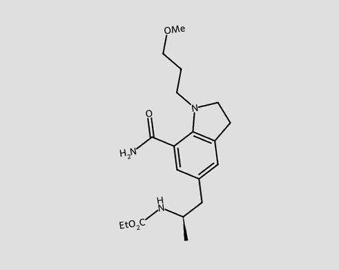 CCOC(=O)N[C@H](C)Cc1cc2c(c(C(N)=O)c1)N(CCCOC)CC2